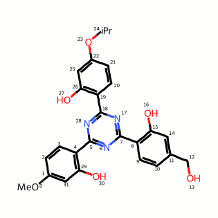 COc1ccc(-c2nc(-c3ccc(CO)cc3O)nc(-c3ccc(OC(C)C)cc3O)n2)c(O)c1